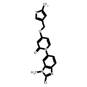 CCc1nc2ccc(-n3ccc(OCc4csc(C(F)(F)F)c4)cc3=O)cc2n1C